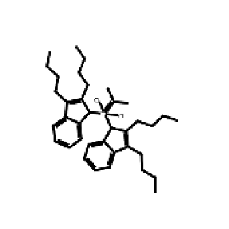 CCCCC1=C(CCCC)[CH]([Ti]([Cl])([Cl])(=[C](C)C)[CH]2C(CCCC)=C(CCCC)c3ccccc32)c2ccccc21